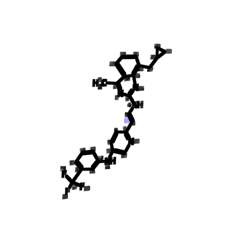 Cc1nc(N/C=C/c2ccc(Nc3cccc(C(F)(F)F)c3)cn2)nc2c(CC3CC3)cccc12